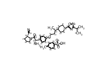 CC(C)c1noc(N2CCC([C@H](C)CCOc3ccc([C@H](N)C(=O)N4CCC[C@H]4C#N)cc3)CC2)n1.Cc1ccc(S(=O)(=O)O)cc1